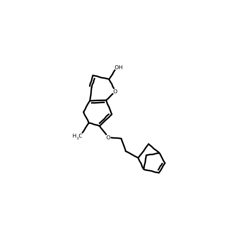 CC1CC2=C(C=C1OCCC1CC3C=CC1C3)OC(O)C=C2